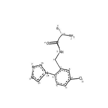 CC[C@H](N)C(=O)NCc1cc(Cl)ccc1-n1cnnn1